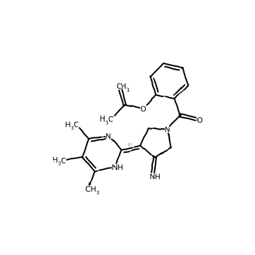 C=C(C)Oc1ccccc1C(=O)N1CC(=N)/C(=C2/N=C(C)C(C)=C(C)N2)C1